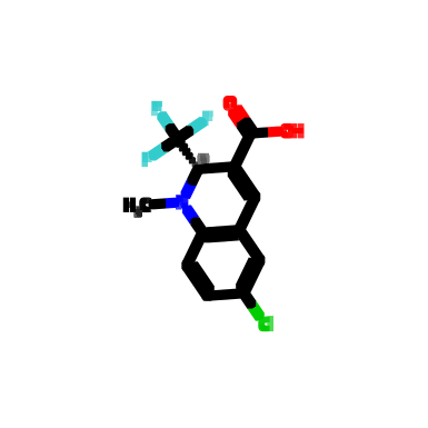 CN1c2ccc(Cl)cc2C=C(C(=O)O)[C@H]1C(F)(F)F